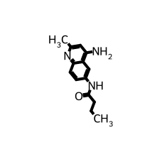 CCCC(=O)Nc1ccc2nc(C)cc(N)c2c1